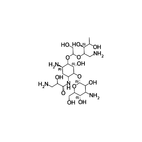 CC(O)[C@H](O)C(CN)OC(CO)OC1[C@H](O)C(O[C@H]2OC(CO)[C@@H](O)C(N)C2O)C(NC(=O)C(O)CN)C[C@H]1N